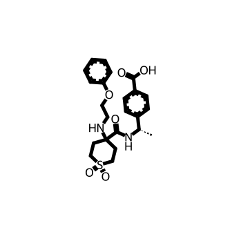 C[C@H](NC(=O)C1(NCCOc2ccccc2)CCS(=O)(=O)CC1)c1ccc(C(=O)O)cc1